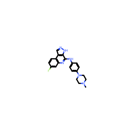 CN1CCN(c2ccc(Nc3nc4cc(F)ccc4c4cn[nH]c34)cc2)CC1